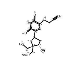 C#CCNc1cn([C@H]2C[C@H](O)[C@](CO)(CNC(C)=O)O2)c(=O)[nH]c1=O